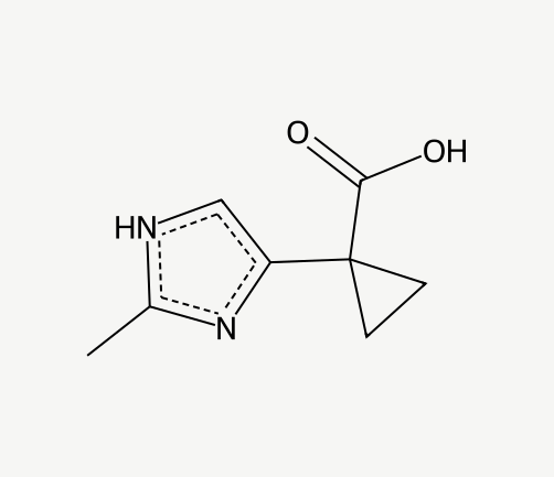 Cc1nc(C2(C(=O)O)CC2)c[nH]1